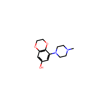 CN1CCN(c2cc(O)cc3c2OCCO3)CC1